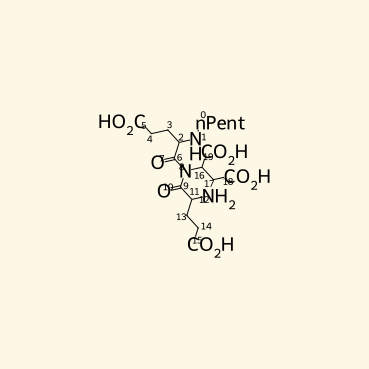 CCCCCNC(CCC(=O)O)C(=O)N(C(=O)C(N)CCC(=O)O)C(CC(=O)O)C(=O)O